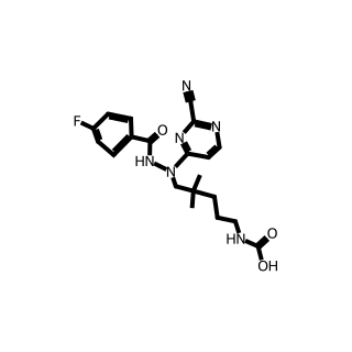 CC(C)(CCCNC(=O)O)CN(NC(=O)c1ccc(F)cc1)c1ccnc(C#N)n1